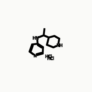 CC(Nc1ccncc1)C1CCNCC1.Cl.Cl